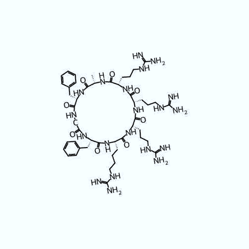 C[C@@H]1NC(=O)[C@H](CCCNC(=N)N)NC(=O)[C@H](CCCNC(=N)N)NC(=O)[C@H](CCCNC(=N)N)NC(=O)[C@H](CCCCNC(=N)N)NC(=O)[C@H](Cc2ccccc2)NC(=O)CNC(=O)[C@H](Cc2ccccc2)NC1=O